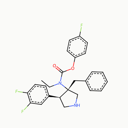 CCN(C(=O)Oc1ccc(F)cc1)[C@]1(Cc2ccccc2)CNC[C@H]1c1ccc(F)c(F)c1